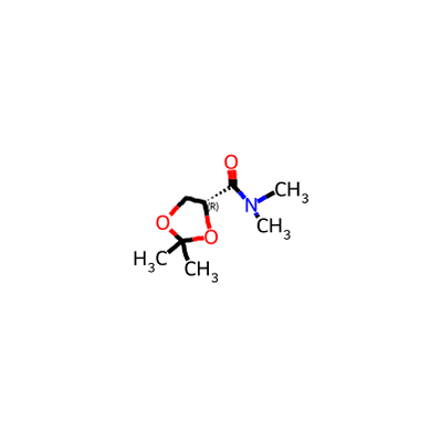 CN(C)C(=O)[C@H]1COC(C)(C)O1